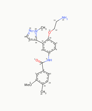 COc1cc(C(=O)Nc2ccc(OCCN)c(-c3ccnn3C)c2)ccc1C